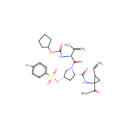 C=CC1C[C@]1(NC(=O)[C@@H]1C[C@H](OS(=O)(=O)c2ccc(Br)cc2)CN1C(=O)[C@@H](NC(=O)OC1CCCC1)C(=C)C)C(=O)OC